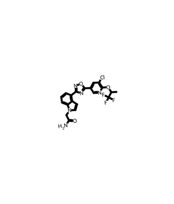 CC(Oc1ncc(-c2nc(-c3cccc4c3ccn4CC(N)=O)no2)cc1Cl)C(F)(F)F